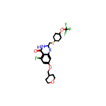 O=c1[nH]c(CSC2CCC(OC(F)(F)F)CC2)nc2cc(OCC3CCOCC3)cc(F)c12